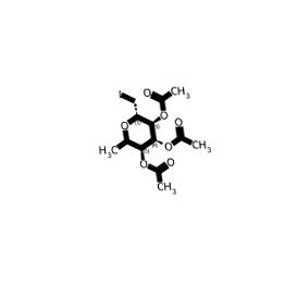 CC(=O)O[C@H]1[C@H](OC(C)=O)[C@@H](OC(C)=O)C(C)O[C@@H]1CI